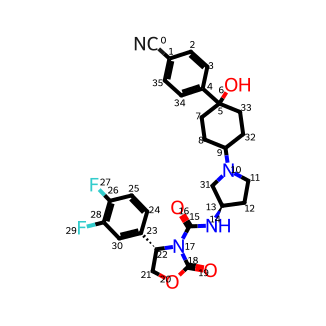 N#Cc1ccc(C2(O)CCC(N3CC[C@@H](NC(=O)N4C(=O)OC[C@@H]4c4ccc(F)c(F)c4)C3)CC2)cc1